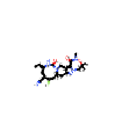 C\C=C1/C=C(C#N)\C(F)=C/[C@@H]2Cc3nn4c(c3CN2C(=O)N1)C(=O)N(C)OC(C)(C)C4